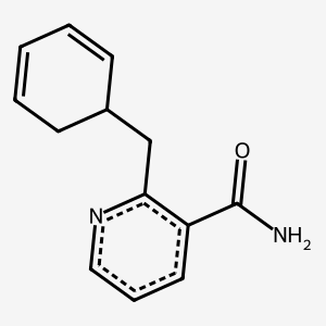 NC(=O)c1cccnc1CC1C=CC=CC1